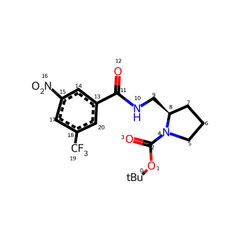 CC(C)(C)OC(=O)N1CCC[C@@H]1CNC(=O)c1cc([N+](=O)[O-])cc(C(F)(F)F)c1